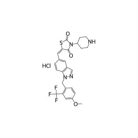 COc1ccc(Cn2ncc3cc(C=C4SC(=O)N(C5CCNCC5)C4=O)ccc32)c(C(F)(F)F)c1.Cl